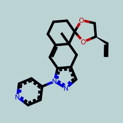 C=C[C@@H]1COC2(CCCC3=Cc4c(cnn4-c4ccncc4)CC32C)O1